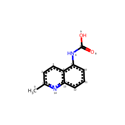 Cc1ccc2c(NC(=O)O)cccc2n1